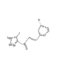 Cc1[nH]nnc1C(=O)/C=C/c1cccc(Br)c1